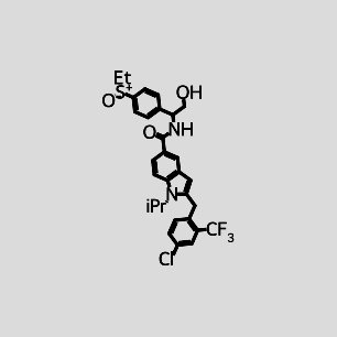 CC[S+]([O-])c1ccc(C(CO)NC(=O)c2ccc3c(c2)cc(Cc2ccc(Cl)cc2C(F)(F)F)n3C(C)C)cc1